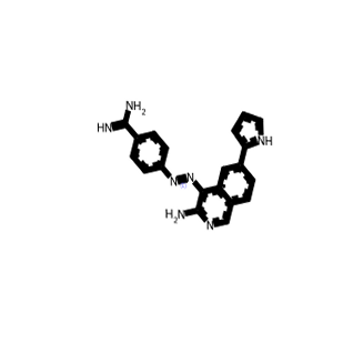 N=C(N)c1ccc(/N=N/c2c(N)ncc3ccc(-c4ccc[nH]4)cc23)cc1